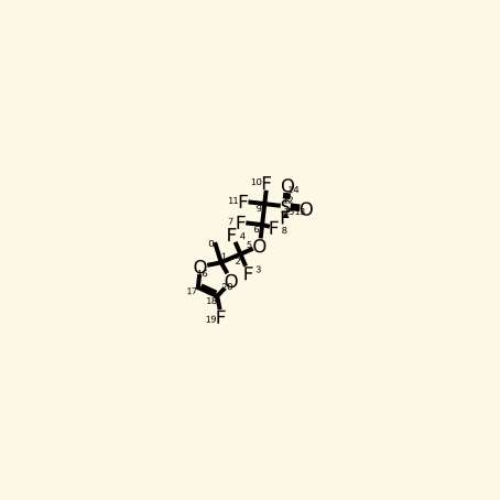 CC1(C(F)(F)OC(F)(F)C(F)(F)S(=O)(=O)F)OC=C(F)O1